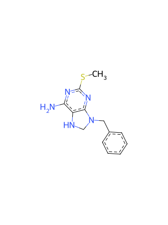 CSc1nc(N)c2c(n1)N(Cc1ccccc1)CN2